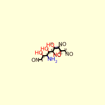 NC(C(O)CN=O)C(O)C(N=O)/C(O)=C(/N=O)C(O)CN=O